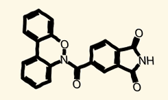 O=C1NC(=O)c2cc(C(=O)N3Oc4ccccc4-c4ccccc43)ccc21